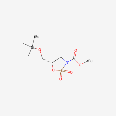 CC(C)(C)OC(=O)N1C[C@@H](CO[Si](C)(C)C(C)(C)C)OS1(=O)=O